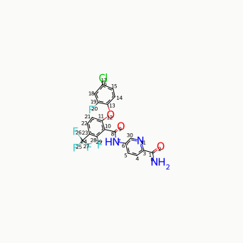 NC(=O)c1ccc(NC(=O)c2c(Oc3ccc(Cl)cc3F)ccc(C(F)(F)F)c2F)cn1